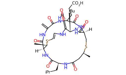 C=C1NC(=O)[C@@H]2NC(=O)[C@H](CC(C)C)NC(=O)C[C@H](C)SC[C@H](NC(=O)[C@H](CCC(=O)O)NC1=O)C(=O)N[C@@H](C(C)CC)C(=O)N/C=C\S[C@H]2C